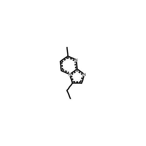 CCc1cnc2nc(C)ccn12